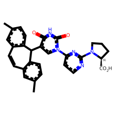 Cc1ccc2c(c1)C=Cc1cc(C)ccc1C2c1cn(-c2ccnc(N3CCC[C@H]3C(=O)O)n2)c(=O)[nH]c1=O